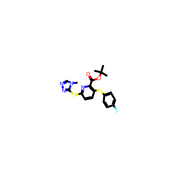 Cn1cnnc1Sc1ccc(Sc2ccc(F)cc2)c(C(=O)OC(C)(C)C)n1